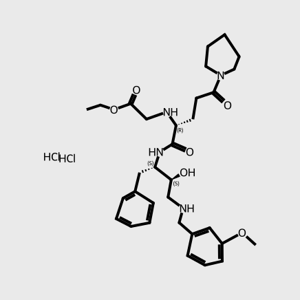 CCOC(=O)CN[C@H](CCC(=O)N1CCCCC1)C(=O)N[C@@H](Cc1ccccc1)[C@@H](O)CNCc1cccc(OC)c1.Cl.Cl